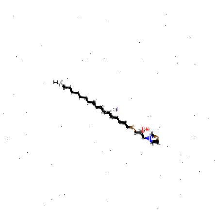 CCCCCCCCCCCCCCCCCCSCC(O)C[n+]1ccsc1.[I-]